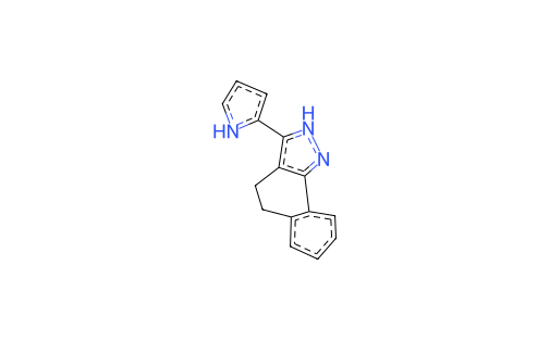 c1c[nH]c(-c2[nH]nc3c2CCc2ccccc2-3)c1